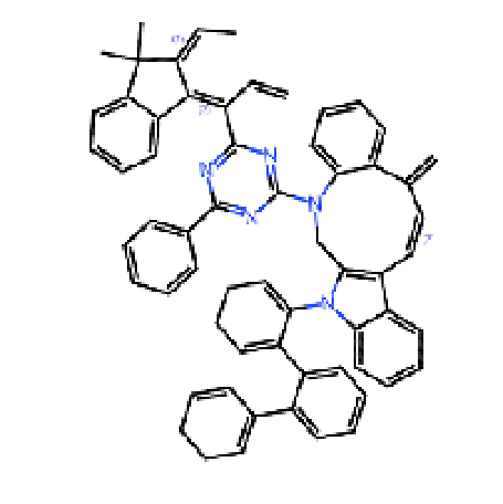 C=C/C(=C1\C(=C/C)C(C)(C)c2ccccc21)c1nc(-c2ccccc2)nc(N2Cc3c(c4ccccc4n3C3=CCCC=C3c3ccccc3C3=CCCC=C3)/C=C\C(=C)c3ccccc32)n1